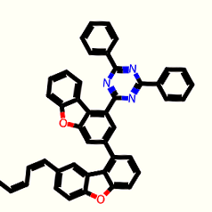 C/C=C\C=C/c1ccc2oc3cccc(-c4cc(-c5nc(-c6ccccc6)nc(-c6ccccc6)n5)c5c(c4)oc4ccccc45)c3c2c1